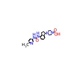 Cc1ccc(NC(=O)Nc2cccc3c2CCC3N2CCN(C(=O)O)CC2)cn1